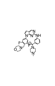 CN1CCN(C(=O)c2cccc(Nc3ncc4ccn(-c5cc(F)c(CN6CCOCC6)c(F)c5)c4n3)c2)CC1